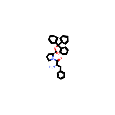 N[C@@H](Cc1ccccc1)C(=O)N1CCC[C@H]1C(=O)OC(c1ccccc1)(c1ccccc1)c1ccccc1